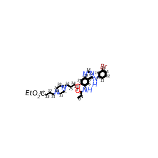 C=CC(=O)Nc1cc2c(Nc3cccc(Br)c3)ncnc2cc1OCCCN1CCN(CCCC(=O)OCC)CC1